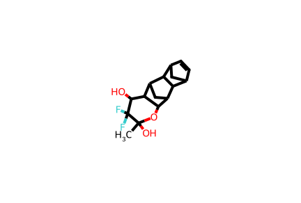 CC1(O)OC2C3CC(C4C5C=CC(C5)C34)C2C(O)C1(F)F